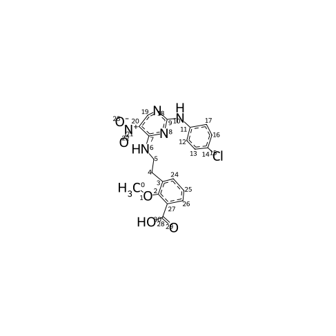 COc1c(CCNc2nc(Nc3ccc(Cl)cc3)ncc2[N+](=O)[O-])cccc1C(=O)O